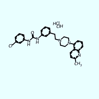 Cc1ccc2c(N3CCN(CCc4cccc(NC(=O)Nc5cccc(Cl)c5)c4)CC3)cccc2n1.Cl.Cl